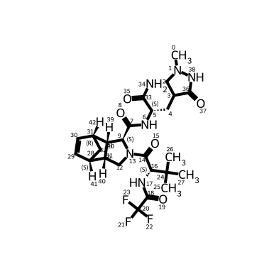 CN1CC(C[C@H](NC(=O)[C@@H]2[C@@H]3[C@H](CN2C(=O)[C@@H](NC(=O)C(F)(F)F)C(C)(C)C)[C@@H]2C=C[C@H]3C2)C(N)=O)C(=O)N1